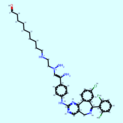 N/C(=C\N(N)CCNCCCCCCCCCC=O)c1ccc(Nc2ncc3c(n2)-c2ccc(Cl)cc2C(c2c(F)cccc2F)=NC3)cc1